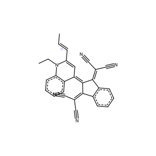 C/C=C/C1=CC(=C2C(=C(C#N)C#N)c3ccccc3C2=C(C#N)C#N)c2ccccc2N1CC